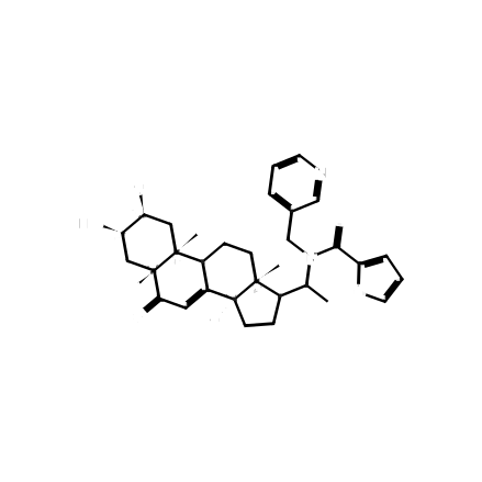 CC(C1CC[C@@]2(O)C3=CC(=O)[C@@H]4C[C@@H](O)[C@@H](O)C[C@]4(C)C3CC[C@]12C)N(Cc1cccnc1)C(=O)c1ccco1